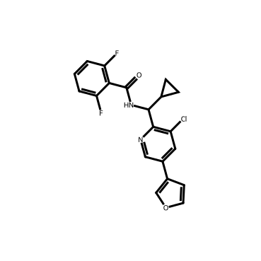 O=C(NC(c1ncc(-c2ccoc2)cc1Cl)C1CC1)c1c(F)cccc1F